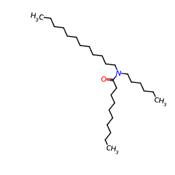 CCCCCCCCCCCCN(CCCCCC)C(=O)CCCCCCCCC